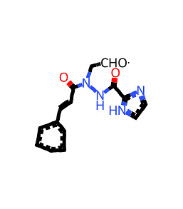 O=[C]CN(NC(=O)c1ncc[nH]1)C(=O)C=Cc1ccccc1